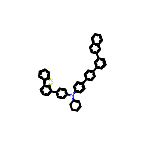 C1=CCCC(N(c2ccc(-c3ccc(-c4cccc(-c5ccc6ccccc6c5)c4)cc3)cc2)c2ccc(-c3cccc4c3sc3ccccc34)cc2)=C1